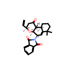 C=C[C@@]1(C)CC(=O)[C@H]2[C@](C)(O1)[C@H](N1C(=O)c3ccccc3C1=O)C=C1C(C)(C)CCC[C@@]12C